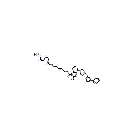 CC/C=C\C/C=C\C/C=C\CCC/C=C/CCC(=O)n1c2c(oc1=O)C(N1CCN(Cc3cccc(-c4ccccc4)c3)CC1)=CCC2